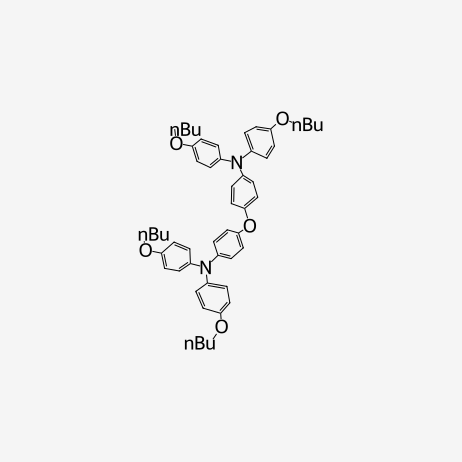 CCCCOc1ccc(N(c2ccc(OCCCC)cc2)c2ccc(Oc3ccc(N(c4ccc(OCCCC)cc4)c4ccc(OCCCC)cc4)cc3)cc2)cc1